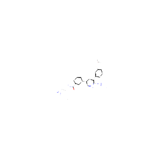 CC(C)Oc1cccc(-c2cc(-c3cccc(C(=O)NCCN(C)C)c3)cnc2N)c1